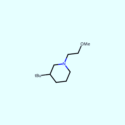 COCCN1CCCC(C(C)(C)C)C1